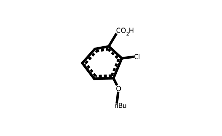 CCCCOc1cccc(C(=O)O)c1Cl